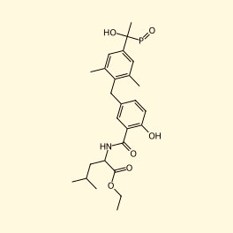 CCOC(=O)C(CC(C)C)NC(=O)c1cc(Cc2c(C)cc(C(C)(O)P=O)cc2C)ccc1O